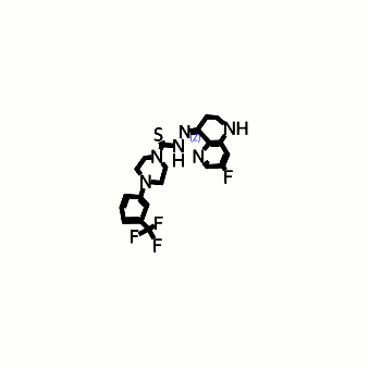 Fc1cnc2c(c1)NCC/C2=N/NC(=S)N1CCN(c2cccc(C(F)(F)F)c2)CC1